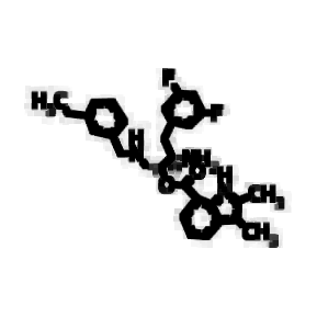 CCc1cccc(CNC[C@@H](OC(=O)c2cccc3c(C)c(C)[nH]c23)[C@@H](N)Cc2cc(F)cc(F)c2)c1